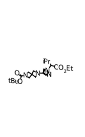 CCOC(=O)C(C(C)C)n1cc(N2CC3(CN(C(=O)OC(C)(C)C)C3)C2)cn1